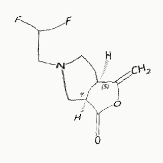 C=C1OC(=O)[C@H]2CN(CC(F)F)C[C@@H]12